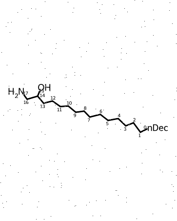 CCCCCCCCCCCCCCCCCCCCCCCC(O)CN